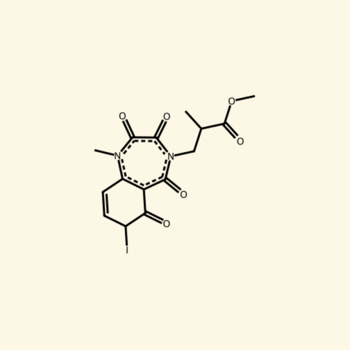 COC(=O)C(C)Cn1c(=O)c2c(n(C)c(=O)c1=O)C=CC(I)C2=O